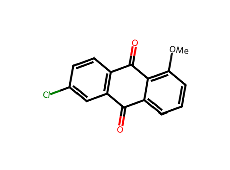 COc1cccc2c1C(=O)c1ccc(Cl)cc1C2=O